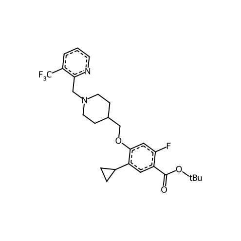 CC(C)(C)OC(=O)c1cc(C2CC2)c(OCC2CCN(Cc3ncccc3C(F)(F)F)CC2)cc1F